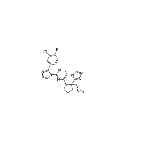 CC[C@@]12CCCN1c1nc(-n3ccnc3-c3ccc(F)c(Cl)c3)ncc1-n1cnnc12